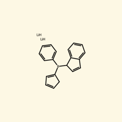 C1=CCC(B(c2ccccc2)C2C=Cc3ccccc32)=C1.[LiH].[LiH]